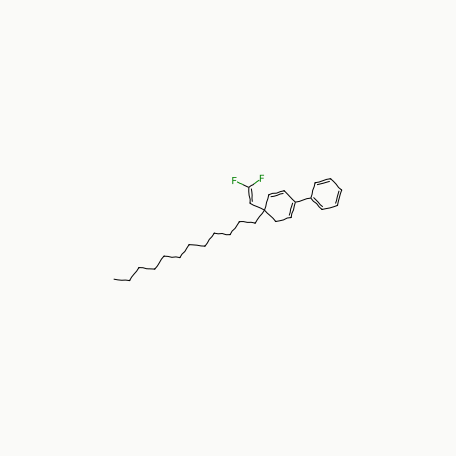 CCCCCCCCCCCCC1(C=C(F)F)C=CC(c2ccccc2)=CC1